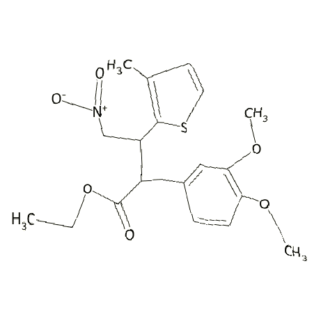 CCOC(=O)C(c1ccc(OC)c(OC)c1)C(C[N+](=O)[O-])c1sccc1C